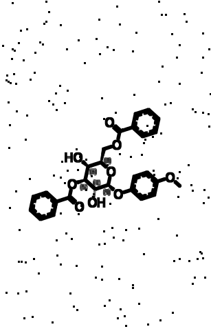 COc1ccc(O[C@@H]2O[C@H](COC(=O)c3ccccc3)[C@H](O)[C@H](OC(=O)c3ccccc3)[C@H]2O)cc1